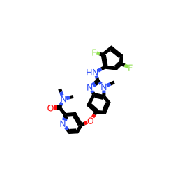 CN(C)C(=O)c1cc(Oc2ccc3c(c2)nc(Nc2cc(F)ccc2F)n3C)ccn1